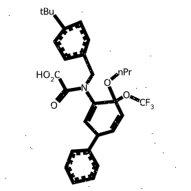 CCCOC1(OC(F)(F)F)C=CC(c2ccccc2)C=C1N(Cc1ccc(C(C)(C)C)cc1)C(=O)C(=O)O